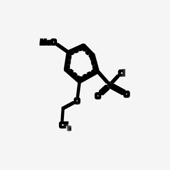 COc1ccc(S(=O)(=O)Cl)c(OCC(F)(F)F)c1